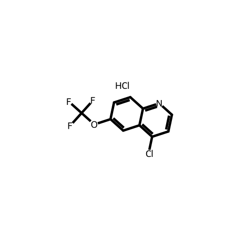 Cl.FC(F)(F)Oc1ccc2nccc(Cl)c2c1